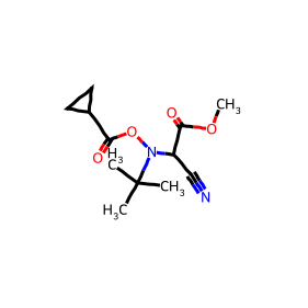 COC(=O)C(C#N)N(OC(=O)C1CC1)C(C)(C)C